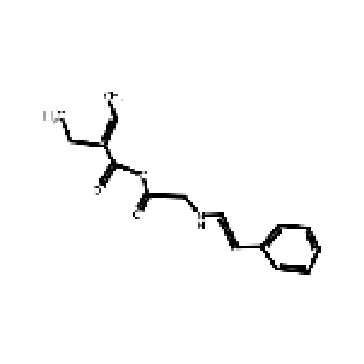 CC=C(CC)C(=O)OC(=O)CNC=Cc1ccccc1